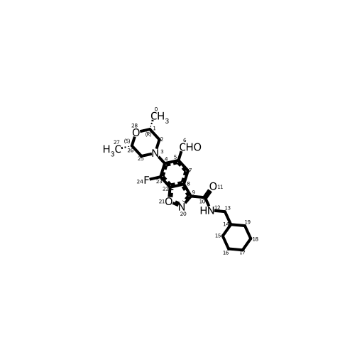 C[C@@H]1CN(c2c(C=O)cc3c(C(=O)NCC4CCCCC4)noc3c2F)C[C@H](C)O1